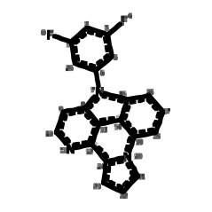 Fc1cc(F)cc(-n2c3ccnc4c3c3c2cccc3n2cccc42)c1